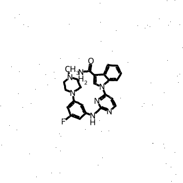 CN1CCN(c2cc(F)cc(Nc3nccc(-n4cc(C(N)=O)c5ccccc54)n3)c2)CC1